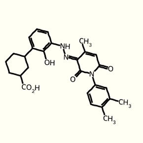 CC1=CC(=O)N(c2ccc(C)c(C)c2)C(=O)C1=NNc1cccc(C2CCCC(C(=O)O)C2)c1O